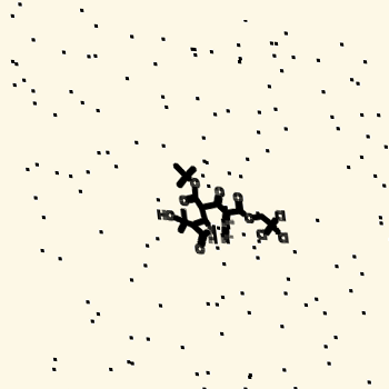 CC(C)(C)OC(=O)C(C(=O)C(=[N+]=[N-])C(=O)OCC(Cl)(Cl)Cl)C1NC(=O)C1C(C)(C)O